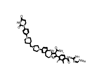 CN/C=N\C(=N)NC(=O)c1ccc(-c2nn3c(c2C(N)=O)Nc2ccc(N4CCN(CC5CCN(c6ccc(N7CCC(=O)NC7=O)cc6)CC5)CC4)cc2CC3)c(F)c1C